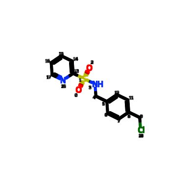 O=S(=O)(NCc1ccc(CCl)cc1)c1ccccn1